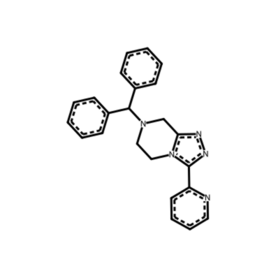 c1ccc(C(c2ccccc2)N2CCn3c(nnc3-c3ccccn3)C2)cc1